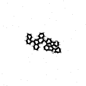 c1ccc2c(c1)-c1oc3ccccc3c1C21c2cc(-c3cc4c5ccccc5c(-c5cccc6ccccc56)cc4c4ccccc34)ccc2-c2ncccc21